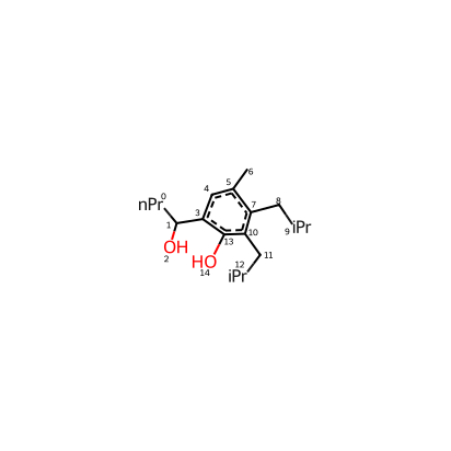 CCCC(O)c1cc(C)c(CC(C)C)c(CC(C)C)c1O